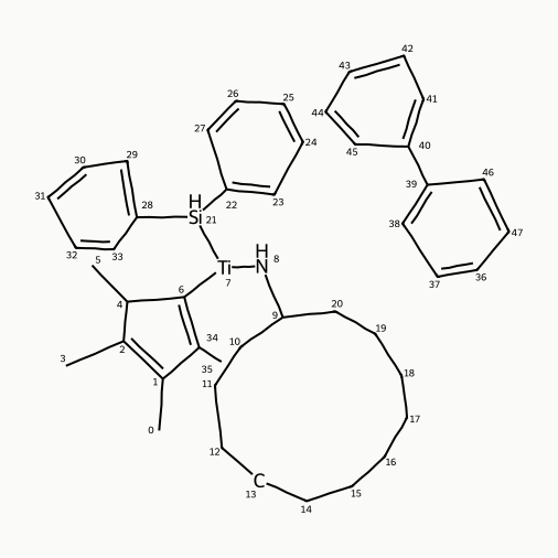 CC1=C(C)C(C)[C]([Ti]([NH]C2CCCCCCCCCCC2)[SiH](c2ccccc2)c2ccccc2)=C1C.c1ccc(-c2ccccc2)cc1